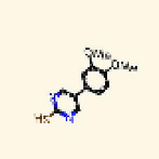 COc1ccc(-c2cnc(S)nc2)cc1OC